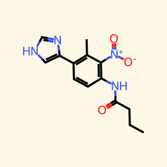 CCCC(=O)Nc1ccc(-c2c[nH]cn2)c(C)c1[N+](=O)[O-]